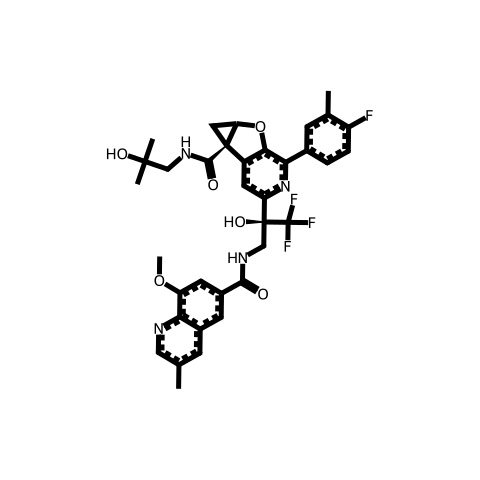 COc1cc(C(=O)NC[C@](O)(c2cc3c(c(-c4ccc(F)c(C)c4)n2)OC2C[C@@]32C(=O)NCC(C)(C)O)C(F)(F)F)cc2cc(C)cnc12